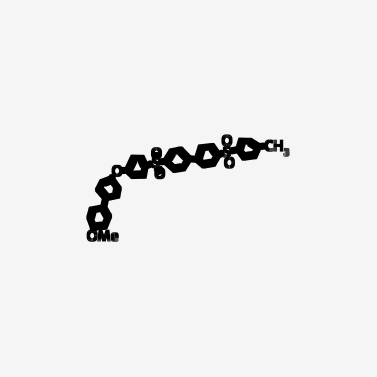 COc1ccc(-c2ccc(Oc3ccc(S(=O)(=O)c4ccc(-c5ccc(S(=O)(=O)c6ccc(C)cc6)cc5)cc4)cc3)cc2)cc1